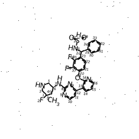 C[C@]1(F)CNC[C@@H](Nc2nccc(-c3cccnc3Oc3ccc(C(N[SH](=O)=O)c4ccccc4)c(F)c3F)n2)C1